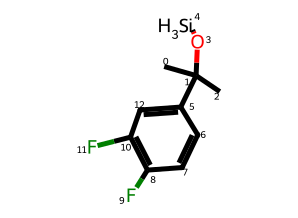 CC(C)(O[SiH3])c1ccc(F)c(F)c1